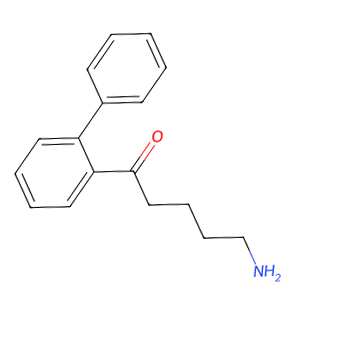 NCCCCC(=O)c1ccccc1-c1ccccc1